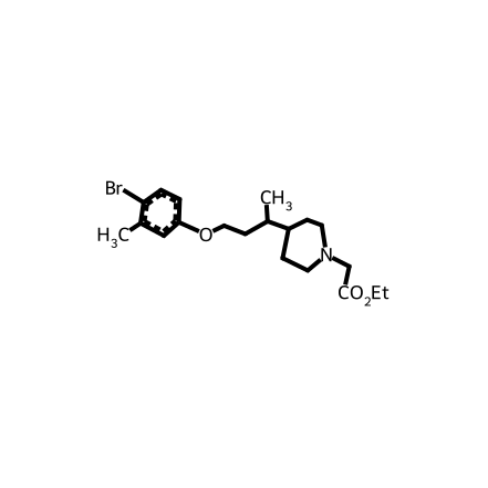 CCOC(=O)CN1CCC(C(C)CCOc2ccc(Br)c(C)c2)CC1